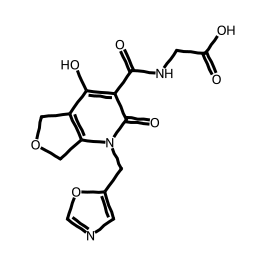 O=C(O)CNC(=O)c1c(O)c2c(n(Cc3cnco3)c1=O)COC2